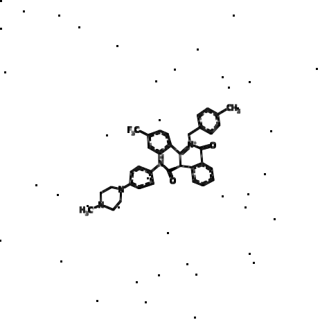 Cc1ccc(C[N+]2=C(c3ccc(C(F)(F)F)cc3)[C@H](C(=O)Nc3ccc(N4CCN(C)CC4)cc3)c3ccccc3C2=O)cc1